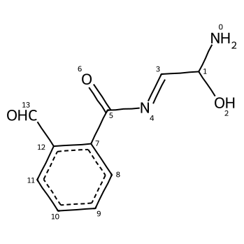 NC(O)C=NC(=O)c1ccccc1C=O